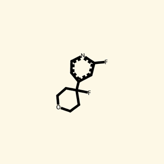 Fc1cc(C2(F)CCOCC2)ccn1